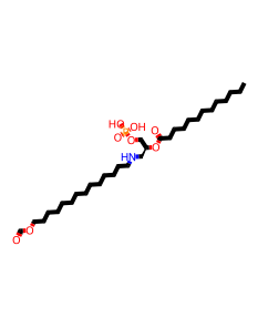 CCCCCCCCCCCCC(=O)O[C@@H](CNCCCCCCCCCCCCCCOC=O)COP(=O)(O)O